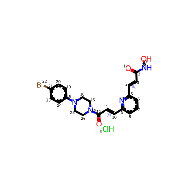 Cl.O=C(/C=C/c1cccc(/C=C/C(=O)N2CCN(c3ccc(Br)cc3)CC2)n1)NO